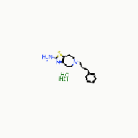 Cl.Cl.Nc1nc2c(s1)CCN(CCCc1ccccc1)CC2